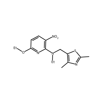 CCOc1ccc([N+](=O)[O-])c(N(CC)Cc2sc(C)nc2C)n1